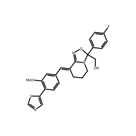 COc1cc(/C=C2\CCCN3C2=NOC3(CO)c2ccc(F)cc2)ccc1-c1cncs1